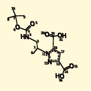 CC(CNC(=O)OC(C)(C)C)n1nc(C(=O)O)cc1C(=O)O